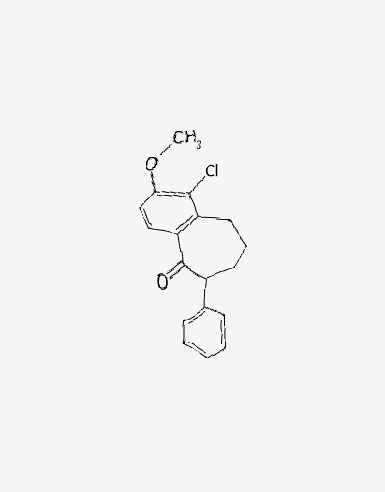 COc1ccc2c(c1Cl)CCCC(c1ccccc1)C2=O